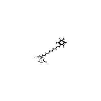 CCO[Si](CCCCCCCCCCc1c(F)c(F)c(F)c(F)c1F)(OC)OC